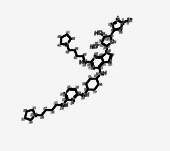 CCn1nnc([C@H]2O[C@@H](n3cnc4c(NC5CCC(Nc6ccnc(NCCCCN7CCCC7)n6)CC5)nc(NCCCCN5CCCC5)nc43)[C@H](O)[C@@H]2O)n1